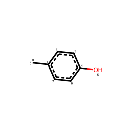 [C]c1ccc(O)cc1